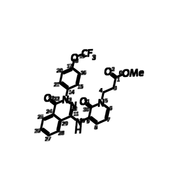 COC(=O)CCn1cccc(Nc2nn(-c3ccc(OC(F)(F)F)cc3)c(=O)c3ccccc23)c1=O